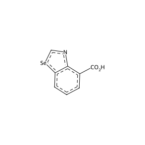 O=C(O)c1cccc2[se]cnc12